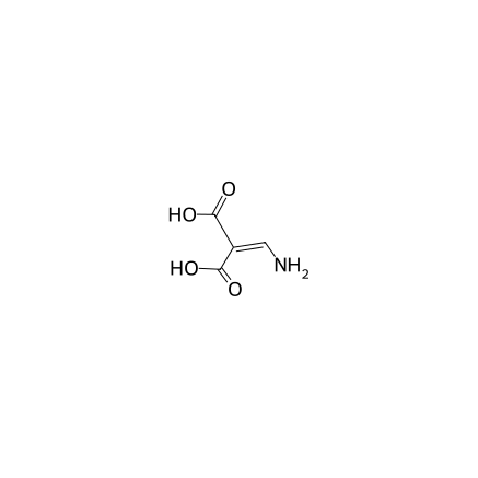 NC=C(C(=O)O)C(=O)O